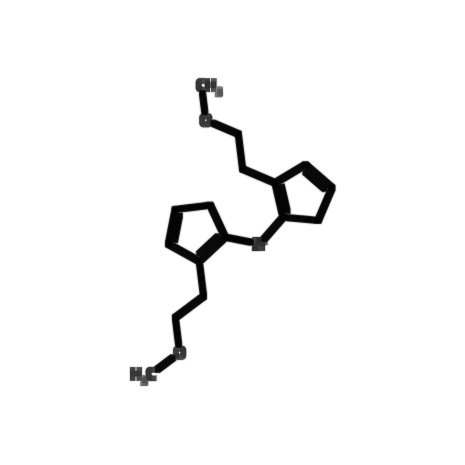 COCCC1=[C]([Zr][C]2=C(CCOC)C=CC2)CC=C1